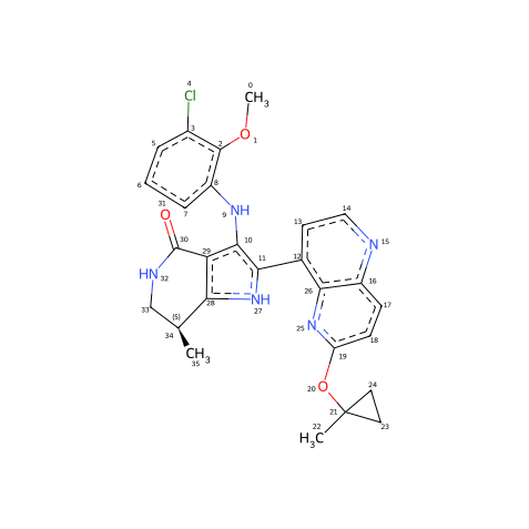 COc1c(Cl)cccc1Nc1c(-c2ccnc3ccc(OC4(C)CC4)nc23)[nH]c2c1C(=O)NC[C@@H]2C